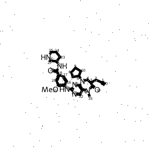 C#CCC1CN(C2CCCC2)c2nc(Nc3ccc(C(=O)NC4CCCNC4)cc3OC)ncc2N(C)C1=O